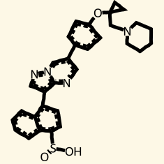 O=S(O)c1ccc(-c2cnn3cc(-c4ccc(OC5(CN6CCCCC6)CC5)cc4)cnc23)c2ccccc12